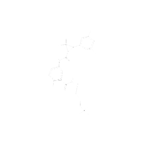 Cc1cc(Cl)cc(C2C(C(=O)Nc3ccc(Cl)c(C(=O)N[C@H](C)CSCC(F)(F)F)c3)C2(Cl)Cl)c1